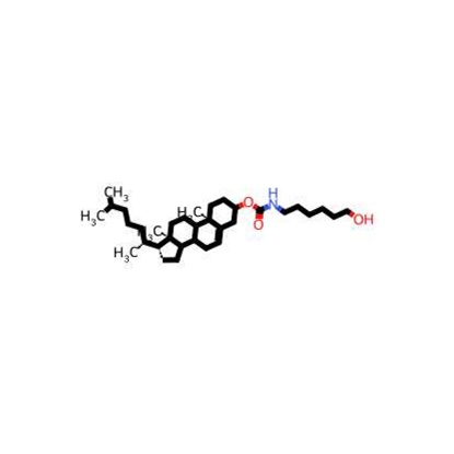 CC(C)CCC[C@@H](C)[C@H]1CCC2C3CC=C4CC(OC(=O)NCCCCCCO)CC[C@]4(C)C3CC[C@@]21C